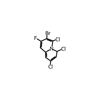 FC1=CC2=CC(Cl)=CC(Cl)N2C(Cl)=C1Br